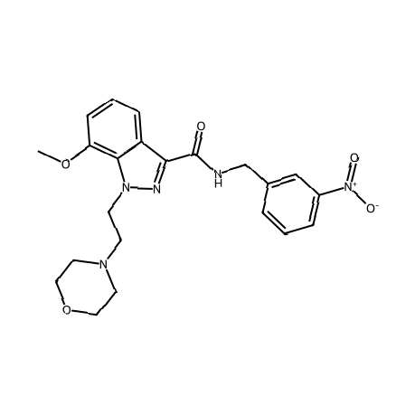 COc1cccc2c(C(=O)NCc3cccc([N+](=O)[O-])c3)nn(CCN3CCOCC3)c12